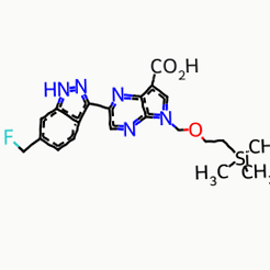 C[Si](C)(C)CCOCn1cc(C(=O)O)c2nc(-c3n[nH]c4cc(CF)ccc34)cnc21